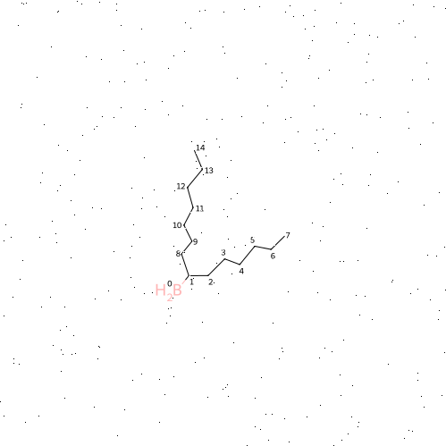 BC(CCCCCC)CCCCCCC